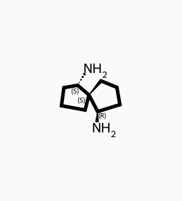 N[C@@H]1CCC[C@]12CCC[C@@H]2N